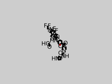 O=C(CN1CCN(C(=O)c2ccc(Nc3nccn4c(-c5cn(CC(F)F)nc5C(F)(F)F)cnc34)cc2Cl)CC1)N[C@H]1CCNC1.O=CO